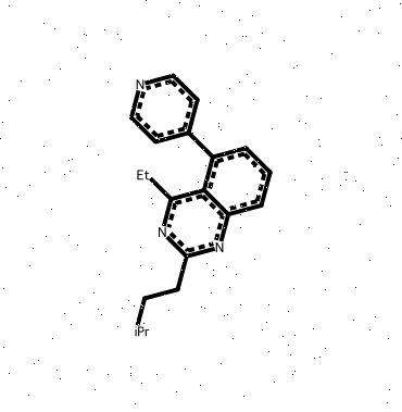 CCc1nc(CCC(C)C)nc2cccc(-c3ccncc3)c12